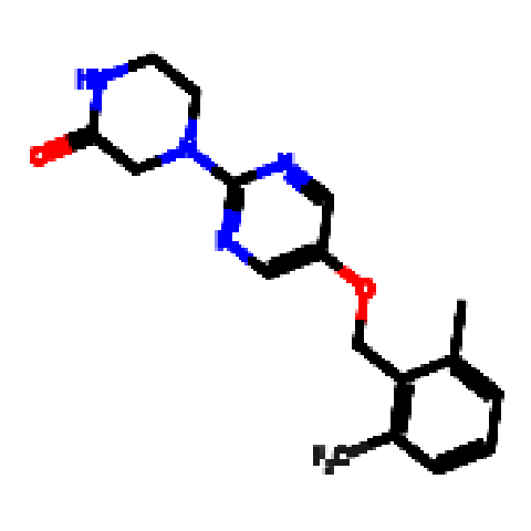 Cc1cccc(C(F)(F)F)c1COc1cnc(N2CCNC(=O)C2)nc1